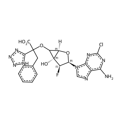 Nc1nc(Cl)nc2c1ncn2[C@@H]1O[C@@H]2C(OC(Cc3ccccc3)(C(=O)O)c3nnn[nH]3)[C@]2(O)[C@@H]1F